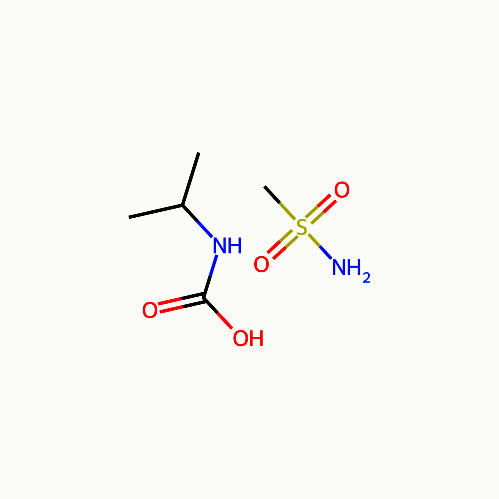 CC(C)NC(=O)O.CS(N)(=O)=O